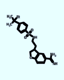 CCC(C)(C)c1ccc(S(=O)(=O)NCCC2COc3ccc(C(=N)N)cc32)cc1